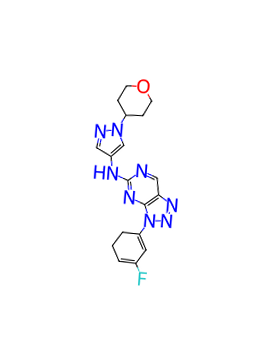 FC1=CCCC(n2nnc3cnc(Nc4cnn(C5CCOCC5)c4)nc32)=C1